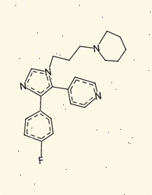 Fc1ccc(-c2ncn(CCCN3CCCCC3)c2-c2ccncc2)cc1